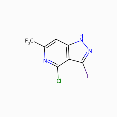 FC(F)(F)c1cc2[nH]nc(I)c2c(Cl)n1